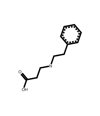 O=C(O)CC[N]CCc1ccccc1